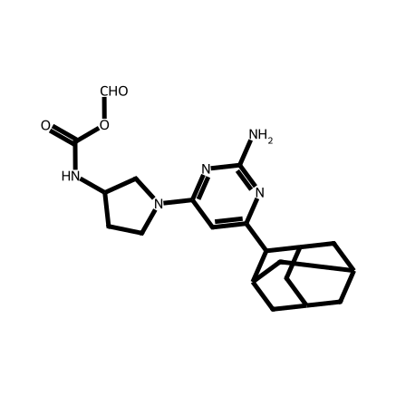 Nc1nc(C2C3CC4CC(C3)CC2C4)cc(N2CCC(NC(=O)OC=O)C2)n1